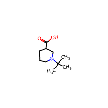 CC(C)(C)N1CCCC(C(=O)O)C1